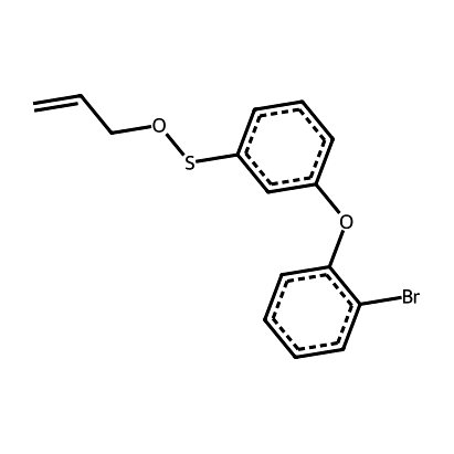 C=CCOSc1cccc(Oc2ccccc2Br)c1